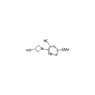 CSc1cnc(N2CC(O)C2)c(C#N)c1